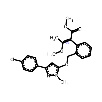 COC(=O)/C(=C(\C)OC)c1ccccc1COc1cc(-c2ccc(Cl)cc2)nn1C